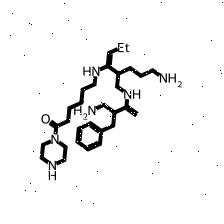 C=C(NCC(CCCN)/C(=C\CC)NCCCCCC(=O)N1CCNCC1)C(CN)Cc1ccccc1